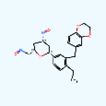 CCc1ccc([C@H]2C[C@@H](N=O)C[C@@H](CN=O)O2)cc1Cc1ccc2c(c1)OCCO2